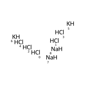 Cl.Cl.Cl.Cl.Cl.[KH].[KH].[NaH].[NaH]